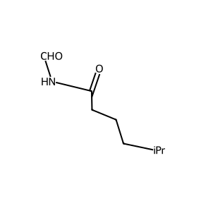 CC(C)CCCC(=O)NC=O